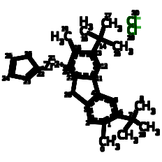 Cc1cc2c(cc1C(C)(C)C)-c1cc(C(C)(C)C)c(C)[c]([Zr+2][C]3=CC=CC3)c1C2.[Cl-].[Cl-]